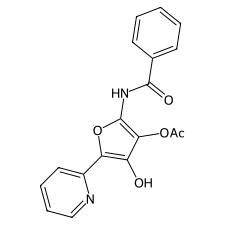 CC(=O)Oc1c(NC(=O)c2ccccc2)oc(-c2ccccn2)c1O